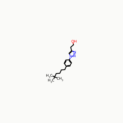 CC(C)(C)CCCCc1ccc(-n2cc(CCO)nn2)cc1